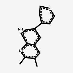 Cc1cc2cc(-c3ccncc3)ccc2nc1C.N